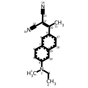 CCN(C)c1ccc2cc(C(C)=C(C#N)C#N)ccc2c1